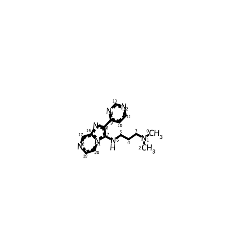 CN(C)CCCNc1c(-c2ccncn2)nc2cnccn12